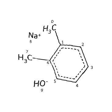 Cc1ccccc1C.[Na+].[OH-]